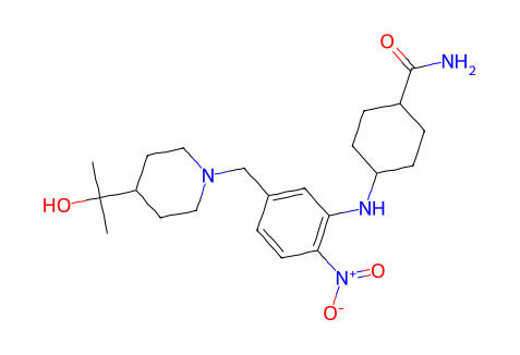 CC(C)(O)C1CCN(Cc2ccc([N+](=O)[O-])c(NC3CCC(C(N)=O)CC3)c2)CC1